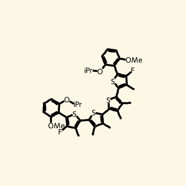 COc1cccc(OC(C)C)c1-c1sc(-c2sc(-c3sc(-c4sc(-c5c(OC)cccc5OC(C)C)c(F)c4C)c(C)c3C)c(C)c2C)c(C)c1F